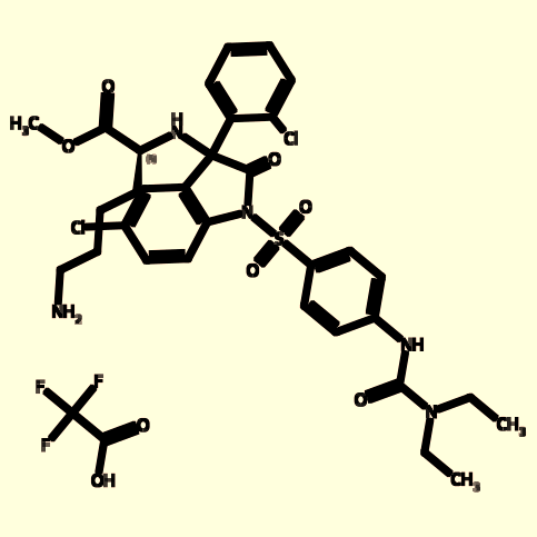 CCN(CC)C(=O)Nc1ccc(S(=O)(=O)N2C(=O)C(N[C@@H](CCCCN)C(=O)OC)(c3ccccc3Cl)c3cc(Cl)ccc32)cc1.O=C(O)C(F)(F)F